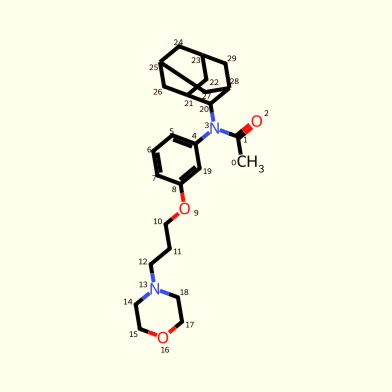 CC(=O)N(c1cccc(OCCCN2CCOCC2)c1)C1C2CC3CC(C2)CC1C3